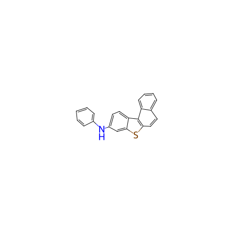 c1ccc(Nc2ccc3c(c2)sc2ccc4ccccc4c23)cc1